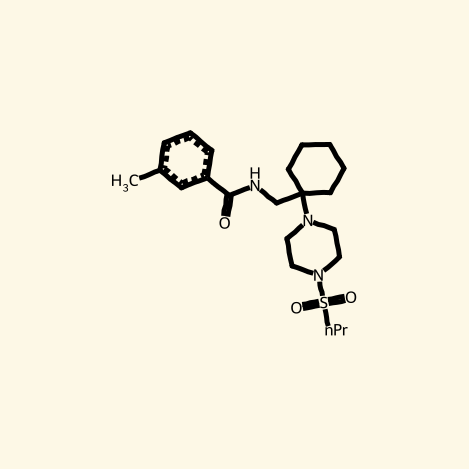 CCCS(=O)(=O)N1CCN(C2(CNC(=O)c3cccc(C)c3)CCCCC2)CC1